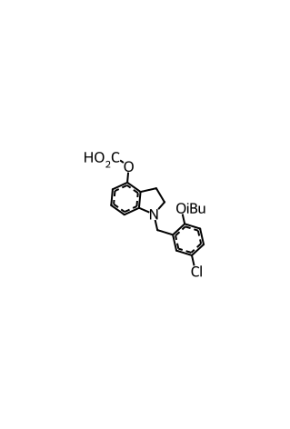 CC(C)COc1ccc(Cl)cc1CN1CCc2c(OC(=O)O)cccc21